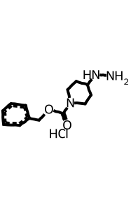 Cl.NNC1CCN(C(=O)OCc2ccccc2)CC1